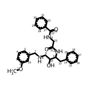 COc1cccc(CNCC(O)C(Cc2ccccc2)NC(=O)CNC(=O)c2ccccc2)c1